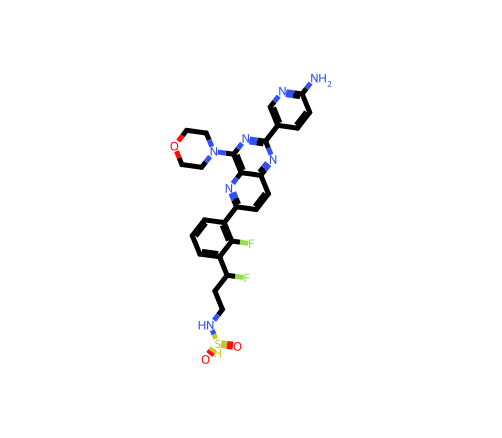 Nc1ccc(-c2nc(N3CCOCC3)c3nc(-c4cccc(C(F)CCN[SH](=O)=O)c4F)ccc3n2)cn1